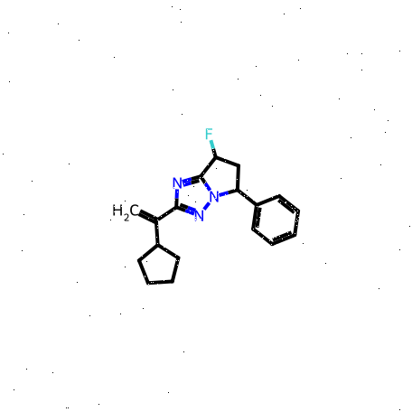 C=C(c1nc2n(n1)C(c1ccccc1)CC2F)C1CCCC1